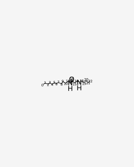 CCCCCCCCCCCCNC(=O)CCNCCCCC